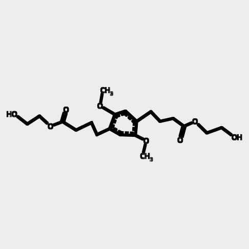 COc1cc(CCCC(=O)OCCO)c(OC)cc1CCCC(=O)OCCO